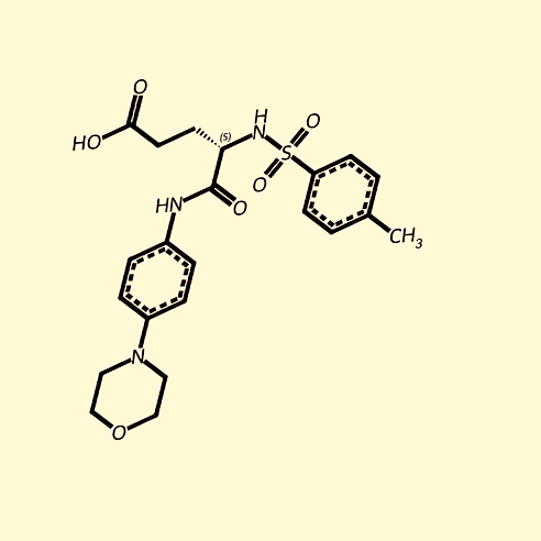 Cc1ccc(S(=O)(=O)N[C@@H](CCC(=O)O)C(=O)Nc2ccc(N3CCOCC3)cc2)cc1